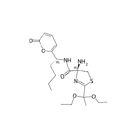 CCCC[C@@H](NC(=O)[C@]1(N)CSC(C(C)(OCC)OCC)=N1)c1cccc(=O)o1